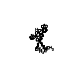 CCCCN(CCCCN(C)C)C(=O)CN1CC(c2ccc3c(c2)OCO3)[C@H](C(=O)O)[C@H]1CCn1cccn1